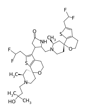 C[C@H]1C[C@@]2(CCN1CCC(C)(C)O)OCCc1c2sc(CC(F)F)c1C1CC(=O)NC1CN1CC[C@]2(C[C@@H]1C)OCCc1cc(CC(F)F)sc12